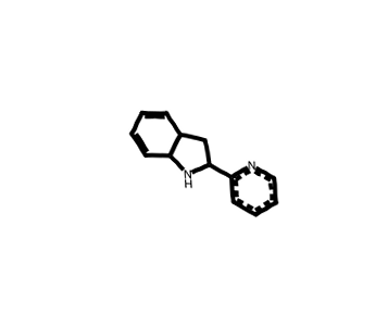 C1=CC2CC(c3ccccn3)NC2C=C1